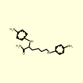 NC(=O)C(CCCCNc1ccc(N)cc1)Nc1ccc(N)cc1